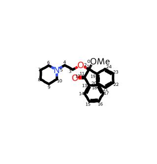 COC(OCCN1CCCCC1)(C(=O)c1ccccc1)c1ccccc1